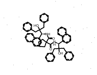 O=C(N[C@@H](c1cccc2ccccc12)C(O)(Cc1ccccc1)Cc1ccccc1)C1(C(=O)N[C@@H](c2cccc3ccccc23)C(O)(Cc2ccccc2)Cc2ccccc2)CCCC1